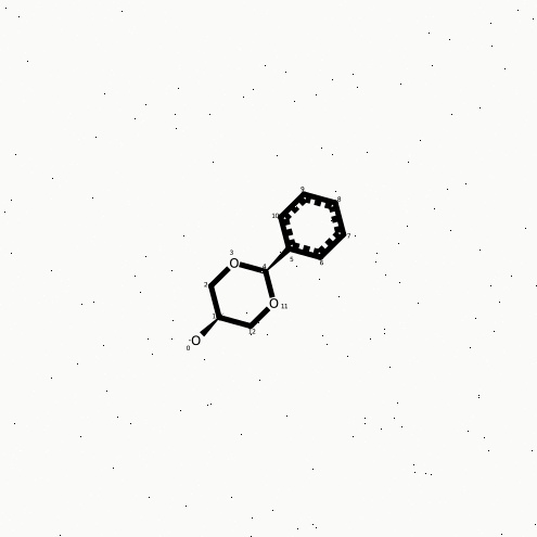 [O][C@H]1CO[C@@H](c2ccccc2)OC1